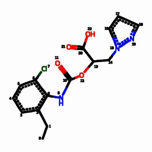 CCc1cccc(Cl)c1NC(=O)OC(Cn1cccn1)C(=O)O